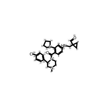 CN1CCN(C(=O)c2ccc(NCC3(C=O)CC3)cc2N2CCCC2)C(c2ccc(Cl)cc2)C1